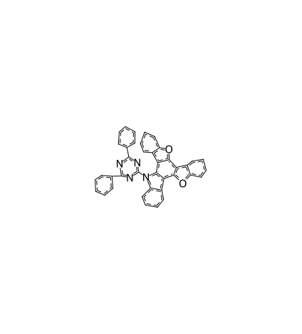 c1ccc(-c2nc(-c3ccccc3)nc(-n3c4ccccc4c4c5oc6ccccc6c5c5oc6ccccc6c5c43)n2)cc1